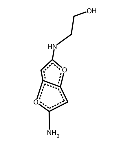 Nc1cc2oc(NCCO)cc2o1